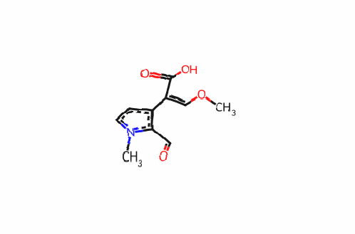 COC=C(C(=O)O)c1ccn(C)c1C=O